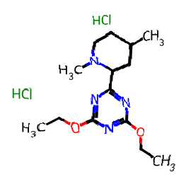 CCOc1nc(OCC)nc(C2CC(C)CCN2C)n1.Cl.Cl